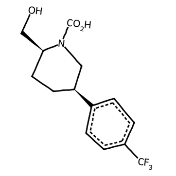 O=C(O)N1C[C@@H](c2ccc(C(F)(F)F)cc2)CC[C@H]1CO